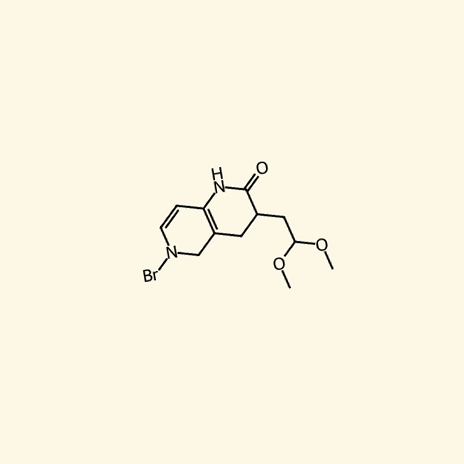 COC(CC1CC2=C(C=CN(Br)C2)NC1=O)OC